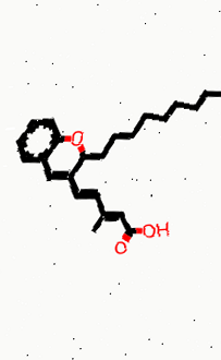 CCCCCCCCCC1Oc2ccccc2C=C1/C=C/C(C)=C/C(=O)O